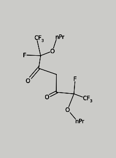 CCCOC(F)(C(=O)CC(=O)C(F)(OCCC)C(F)(F)F)C(F)(F)F